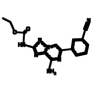 CCOC(=O)Nc1nc2c(N)nc(-c3cccc(C#N)c3)cn2n1